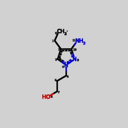 [CH2]Cc1cn(CCCO)nc1N